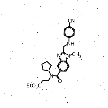 CCOC(=O)CCN(C(=O)c1ccc2c(c1)nc(CNc1ccc(C#N)cc1)n2C)C1CCCC1